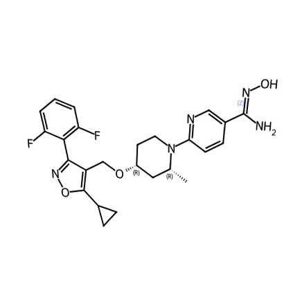 C[C@@H]1C[C@H](OCc2c(-c3c(F)cccc3F)noc2C2CC2)CCN1c1ccc(/C(N)=N/O)cn1